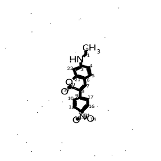 CCNc1ccc2cc(-c3ccc([N+](=O)[O-])cc3)c(=O)oc2c1